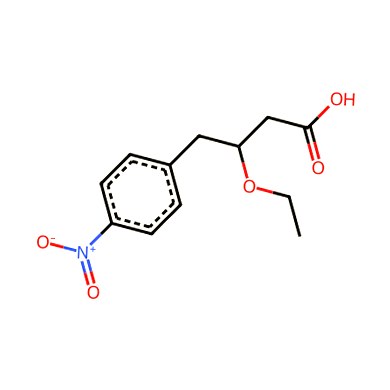 CCOC(CC(=O)O)Cc1ccc([N+](=O)[O-])cc1